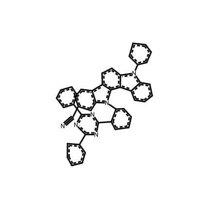 N#Cc1ccc2c3ccc4c(c5ccccc5n4-c4ccccc4)c3n(-c3ccccc3-c3nc(-c4ccccc4)nc(-c4ccccc4)n3)c2c1